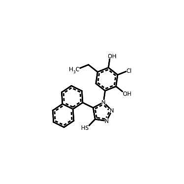 CCc1cc(-n2nnc(S)c2-c2cccc3ccccc23)c(O)c(Cl)c1O